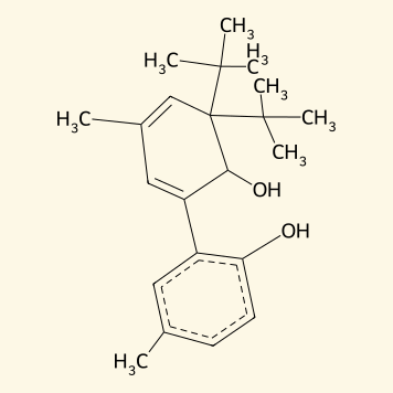 CC1=CC(C(C)(C)C)(C(C)(C)C)C(O)C(c2cc(C)ccc2O)=C1